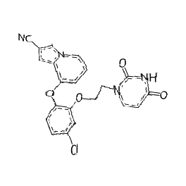 N#Cc1cc2c(Oc3ccc(Cl)cc3OCCn3ccc(=O)[nH]c3=O)cccn2c1